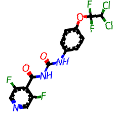 O=C(NC(=O)c1c(F)cncc1F)Nc1ccc(OC(F)(F)C(Cl)Cl)cc1